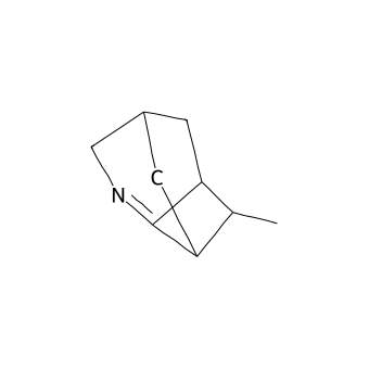 CC1C2CC3CN=C2C1C3